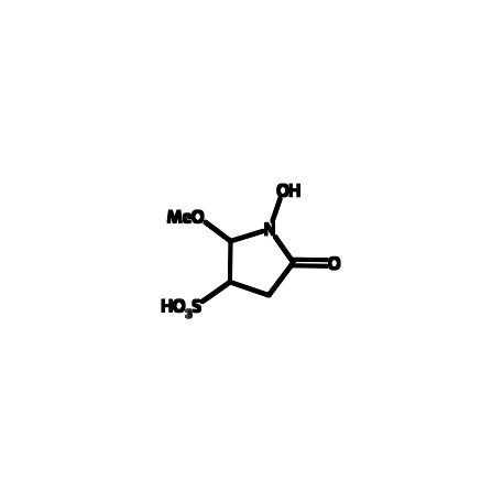 COC1C(S(=O)(=O)O)CC(=O)N1O